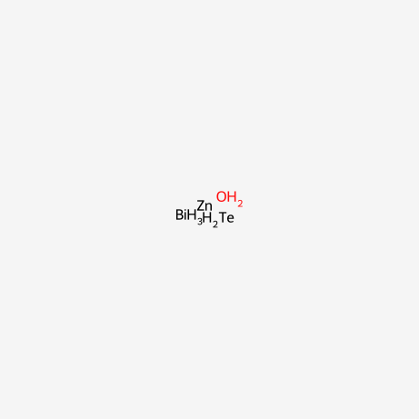 O.[BiH3].[TeH2].[Zn]